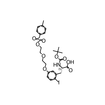 Cc1ccc(S(=O)(=O)OCCOCCOc2ccc(I)c(C[C@H](NC(=O)OC(C)(C)C)C(=O)O)c2)cc1